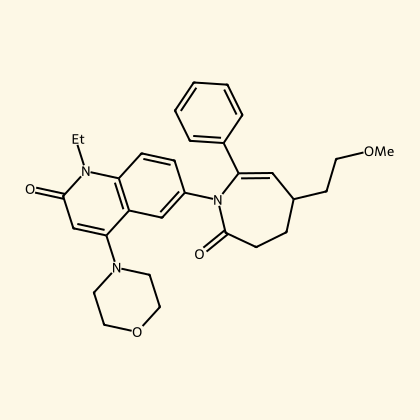 CCn1c(=O)cc(N2CCOCC2)c2cc(N3C(=O)CCC(CCOC)C=C3c3ccccc3)ccc21